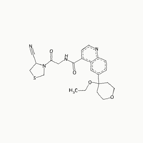 CCOC1(c2ccc3nccc(C(=O)NCC(=O)N4CSCC4C#N)c3c2)CCOCC1